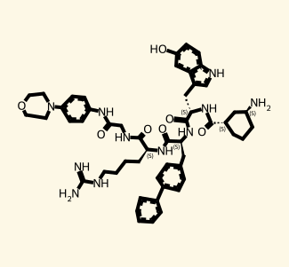 N=C(N)NCCCC[C@H](NC(=O)[C@H](Cc1ccc(-c2ccccc2)cc1)NC(=O)[C@H](Cc1c[nH]c2ccc(O)cc12)NC(=O)[C@H]1CCC[C@H](N)C1)C(=O)NCC(=O)Nc1ccc(N2CCOCC2)cc1